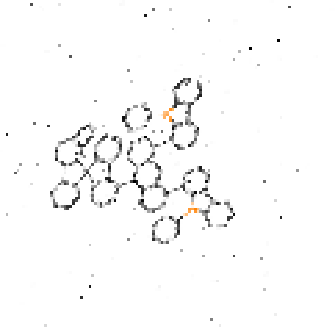 c1ccc(-p2c3ccccc3c3cccc(-c4cccc5c(-c6cccc7c6-c6ccccc6C76c7ccccc7-c7ccc8ccccc8c76)c6cccc(-c7cccc8c9ccccc9p(-c9ccccc9)c78)c6cc45)c32)cc1